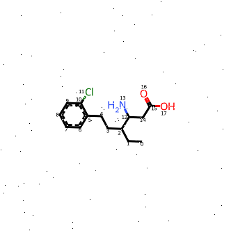 CCC(CCc1ccccc1Cl)C(N)CC(=O)O